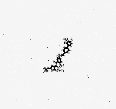 CNc1nc(N(C)[C@H]2C[C@@H](NCc3ccc(-c4ccc(F)c(OC)c4F)cc3)C[C@H]2O)c2cc(CC(F)(F)F)sc2n1